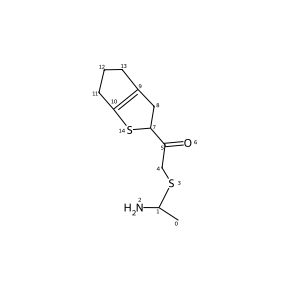 CC(N)SCC(=O)C1CC2=C(CCC2)S1